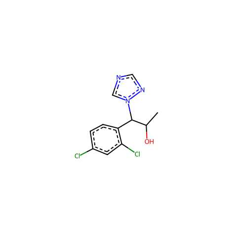 CC(O)C(c1ccc(Cl)cc1Cl)n1cncn1